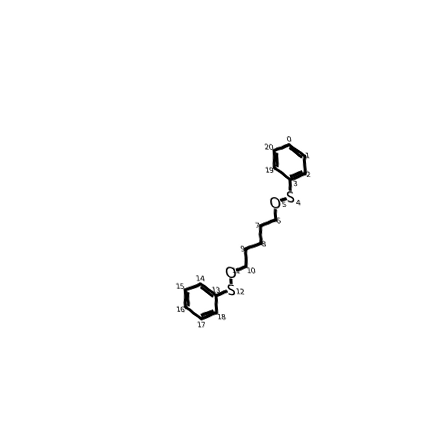 c1ccc(SOCCCCCOSc2ccccc2)cc1